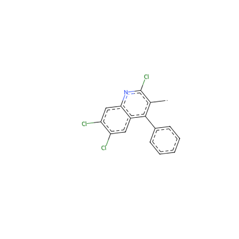 [CH2]c1c(Cl)nc2cc(Cl)c(Cl)cc2c1-c1ccccc1